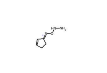 NNO/N=C1/C=CCC1